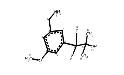 COc1cc(CN)cc(C(F)(F)C(C)(C)O)c1